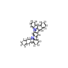 c1ccc2cc3c(cc2c1)c1cccc2c4cc5c6cc7ccccc7c7c8ccccc8n(c5cc4n3c12)c67